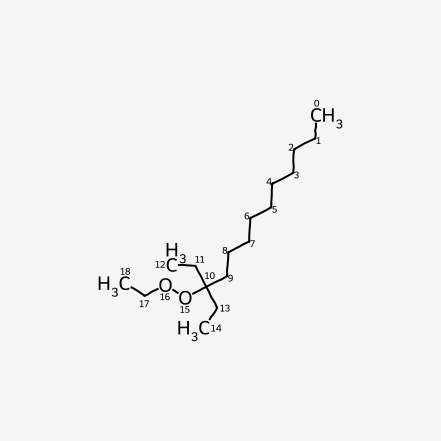 CCCCCCCCCCC(CC)(CC)OOCC